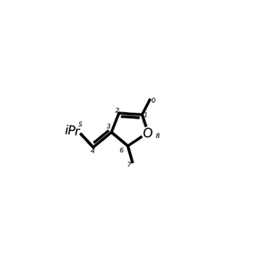 CC1=CC(=CC(C)C)C(C)O1